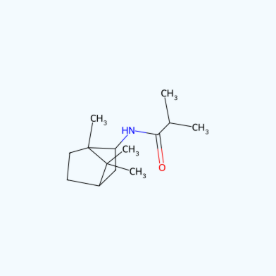 CC(C)C(=O)NC1CC2CCC1(C)C2(C)C